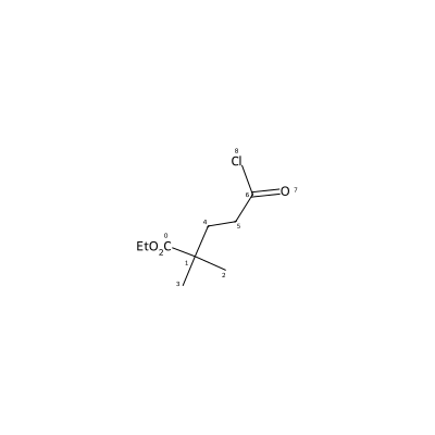 CCOC(=O)C(C)(C)CCC(=O)Cl